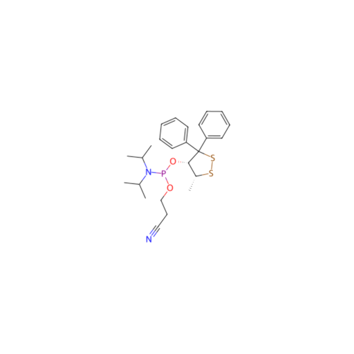 CC(C)N(C(C)C)P(OCCC#N)O[C@H]1[C@@H](C)SSC1(c1ccccc1)c1ccccc1